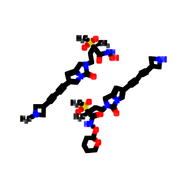 CN1CC(C#CC#Cc2cc3n(c2)C(=O)N(CC[C@](C)(C(=O)NO)S(C)(=O)=O)C3)C1.C[C@@](CCN1Cc2cc(C#CC#CC3CNC3)cn2C1=O)(C(=O)NOC1CCCCO1)S(C)(=O)=O